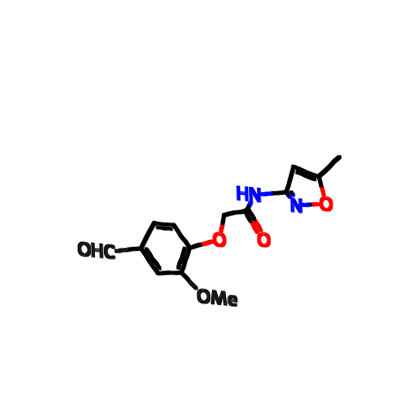 COc1cc(C=O)ccc1OCC(=O)Nc1cc(C)on1